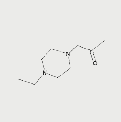 CCN1CCN(CC(C)=O)CC1